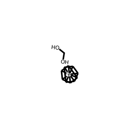 OCO.[CH]12[CH]3[CH]4[CH]5[CH]1[Fe]23451678[CH]2[CH]1[CH]6[CH]7[CH]28